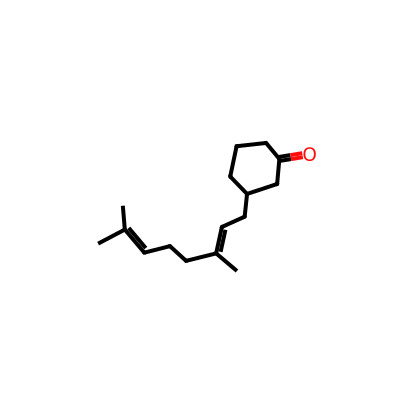 CC(C)=CCC/C(C)=C/CC1CCCC(=O)C1